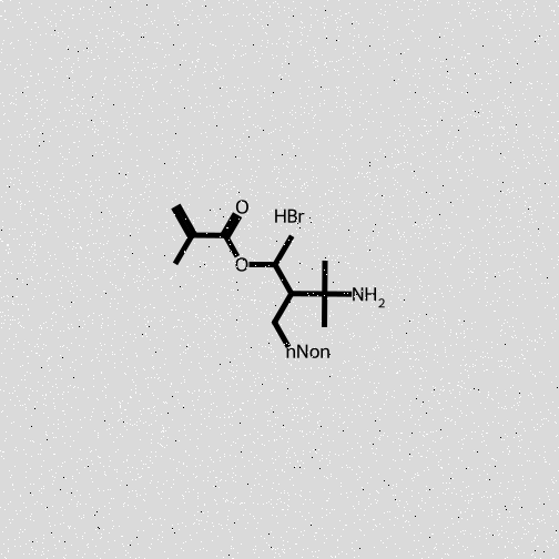 Br.C=C(C)C(=O)OC(C)C(CCCCCCCCCC)C(C)(C)N